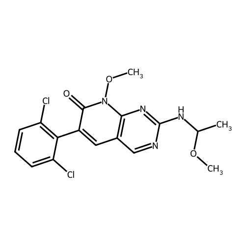 COC(C)Nc1ncc2cc(-c3c(Cl)cccc3Cl)c(=O)n(OC)c2n1